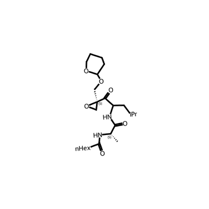 CCCCCCC(=O)N[C@@H](C)C(=O)NC(CC(C)C)C(=O)[C@@]1(COC2CCCCO2)CO1